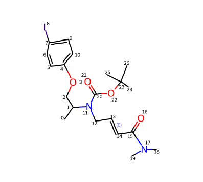 CC(COc1ccc(I)cc1)N(C/C=C/C(=O)N(C)C)C(=O)OC(C)(C)C